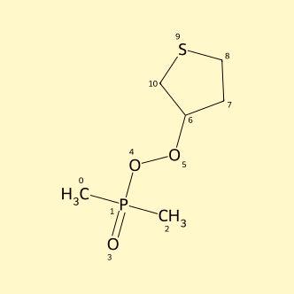 CP(C)(=O)OOC1CCSC1